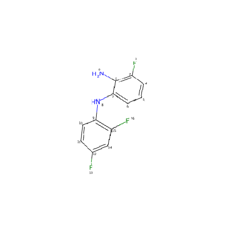 Nc1c(F)cccc1Nc1ccc(F)cc1F